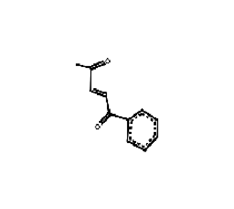 CC(=O)C=CC(=O)c1ccccc1